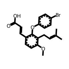 COc1ccc(/C=C/C(=O)O)c(Oc2ccc(Br)cc2)c1CC=C(C)C